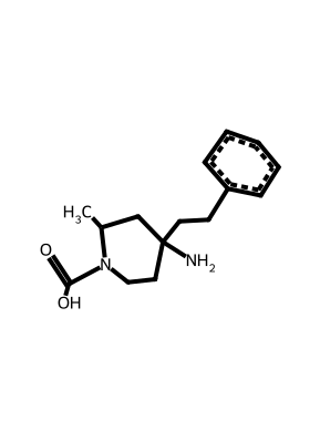 CC1CC(N)(CCc2ccccc2)CCN1C(=O)O